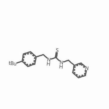 CC(C)(C)c1ccc(CNC(=S)NCc2cccnc2)cc1